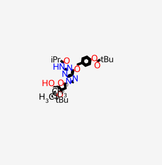 CC(C)C(=O)Nc1nc(OCc2ccc(OC(=O)C(C)(C)C)cc2)c2ncn([C@H]3C[C@H](O[Si](C)(C)C(C)(C)C)[C@@H](CO)O3)c2n1